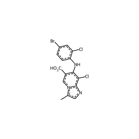 Cc1cnc2c(Cl)c(Nc3ccc(Br)cc3Cl)c(C(=O)O)cn12